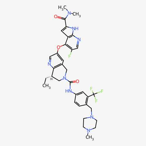 CC[C@H]1CN(C(=O)Nc2ccc(CN3CCN(C)CC3)c(C(F)(F)F)c2)Cc2cc(Oc3c(F)cnc4[nH]c(C(=O)N(C)C)cc34)cnc21